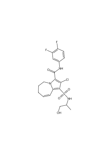 CC(CO)NS(=O)(=O)c1c(Cl)c(C(=O)Nc2ccc(F)c(F)c2)n2c1C=CCCC2